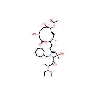 CC[C@H](OC)[C@@H](C)[C@H]1O[C@@H]1C(NCC1CCCCCC1)C(C)(O)/C=C/C=C(\C)[C@H]1OC(=O)C[C@H](O)CC[C@@](C)(O)[C@@H](OC(C)=O)/C=C/[C@@H]1C